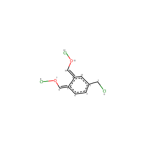 ClCc1ccc(=COCl)c(=COCl)c1